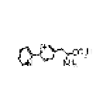 NC(Cc1ccc(-c2ccccn2)nc1)C(=O)O